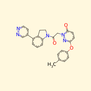 Cc1ccc(Oc2ccc(=O)n(CC(=O)N3CCc4c(-c5ccnnc5)cccc43)n2)cc1